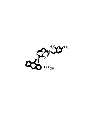 Cc1nc(N)ccc1CNC(=O)[C@@H]1CCc2cnc(NCC3c4ccccc4Cc4ccccc43)c(=O)n21.Cl.Cl